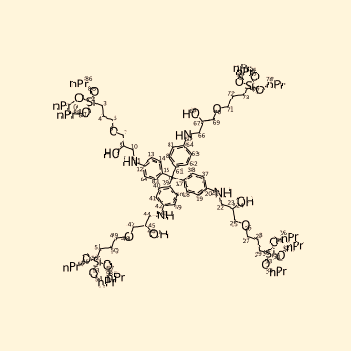 CCCO[Si](CCCOCC(O)CNc1ccc(C(c2ccc(NCC(O)COCCC[Si](OCCC)(OCCC)OCCC)cc2)(c2ccc(NCC(O)COCCC[Si](OCCC)(OCCC)OCCC)cc2)c2ccc(NCC(O)COCCC[Si](OCCC)(OCCC)OCCC)cc2)cc1)(OCCC)OCCC